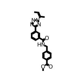 C/C=C(/C)n1nnc(-c2cccc(C(=O)NCc3ccc(C(=O)OC)cc3)c2)n1